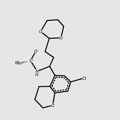 CC(C)(C)[S@+]([O-])NC(CCC1OCCCO1)c1cc(Cl)cc2c1CCCO2